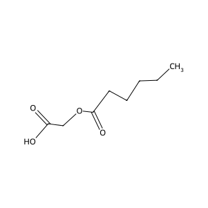 CCCCCC(=O)OCC(=O)O